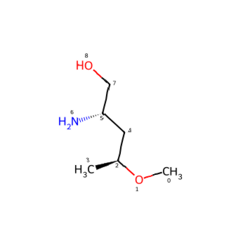 CO[C@@H](C)C[C@H](N)CO